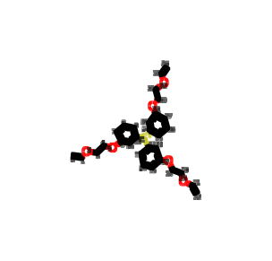 C=COCCOc1cccc([S+](c2cccc(OCCOC=C)c2)c2cccc(OCCOC=C)c2)c1